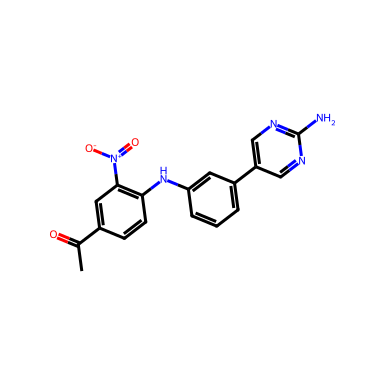 CC(=O)c1ccc(Nc2cccc(-c3cnc(N)nc3)c2)c([N+](=O)[O-])c1